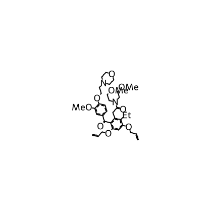 C=CCOc1cc(OCC=C)c(C(=O)c2ccc(OCCN3CCOCC3)c(OC)c2)c(CC(=O)N(CCOC)CCOC)c1CC